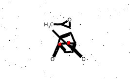 CC1CO1.O=c1oc(=O)c2ccc1cc2